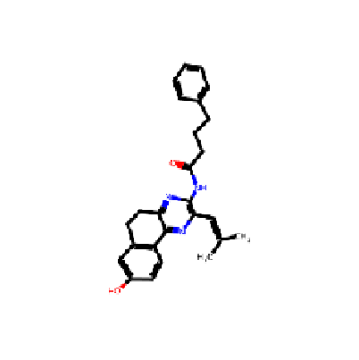 CC(C)=Cc1nc2c(nc1NC(=O)CCCc1ccccc1)CCc1cc(O)ccc1-2